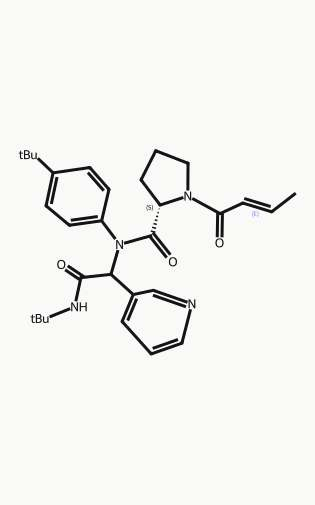 C/C=C/C(=O)N1CCC[C@H]1C(=O)N(c1ccc(C(C)(C)C)cc1)C(C(=O)NC(C)(C)C)c1cccnc1